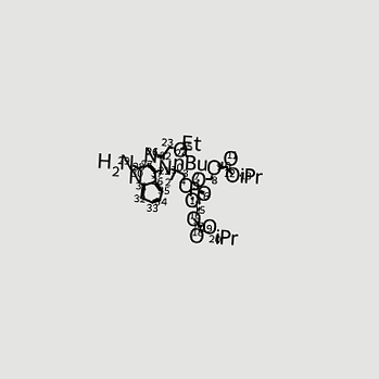 CCCCC(C)(COP(=O)(OCOC(=O)OC(C)C)OCOC(=O)OC(C)C)n1c(COCC)nc2c(N)nc3ccccc3c21